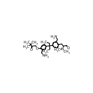 CCC(CC)(c1ccc(CC(C=O)N(C)C)c(CN)c1)c1ccc(OCC(=O)C(C)(C)C)c(CN)c1